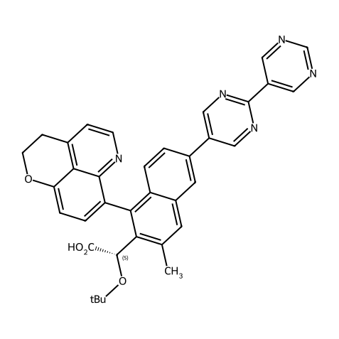 Cc1cc2cc(-c3cnc(-c4cncnc4)nc3)ccc2c(-c2ccc3c4c(ccnc24)CCO3)c1[C@H](OC(C)(C)C)C(=O)O